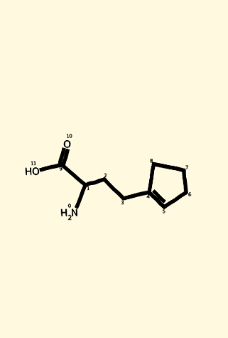 NC(CCC1=CCCC1)C(=O)O